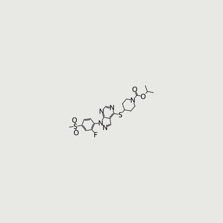 CC(C)OC(=O)N1CCC(Sc2ncnc3c2cnn3-c2ccc(S(C)(=O)=O)cc2F)CC1